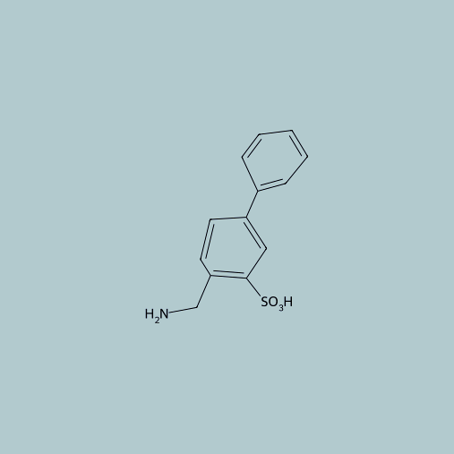 NCc1ccc(-c2ccccc2)cc1S(=O)(=O)O